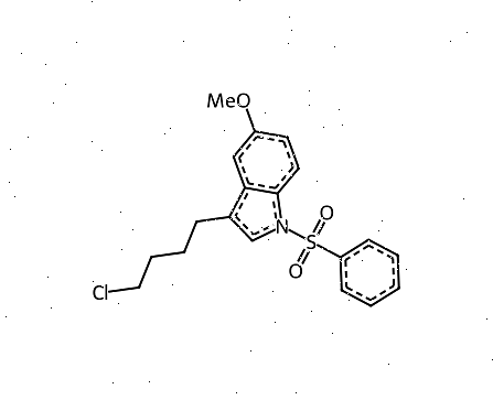 COc1ccc2c(c1)c(CCCCCl)cn2S(=O)(=O)c1ccccc1